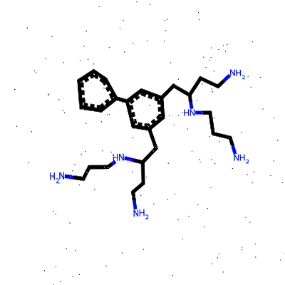 NCCCNC(CCN)Cc1cc(CC(CCN)NCCCN)cc(-c2ccccc2)c1